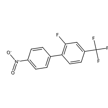 O=[N+]([O-])c1ccc(-c2ccc(C(F)(F)F)cc2F)cc1